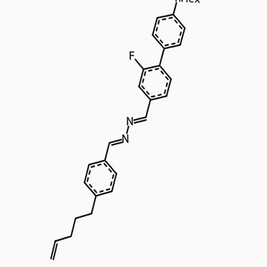 C=CCCCc1ccc(C=NN=Cc2ccc(-c3ccc(CCCCCC)cc3)c(F)c2)cc1